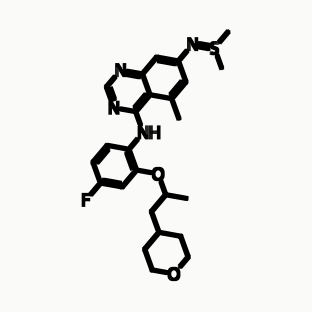 Cc1cc(N=S(C)C)cc2ncnc(Nc3ccc(F)cc3OC(C)CC3CCOCC3)c12